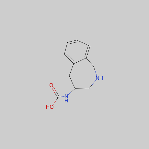 O=C(O)NC1CNCc2ccccc2C1